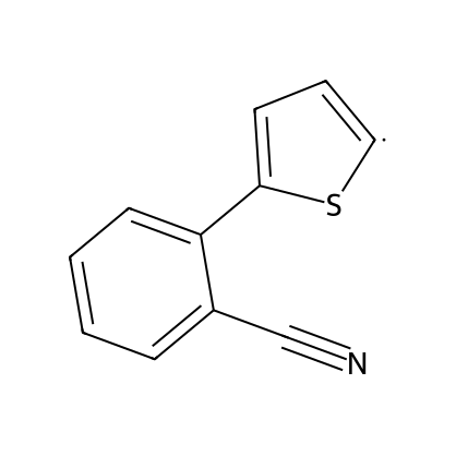 N#Cc1ccccc1-c1cc[c]s1